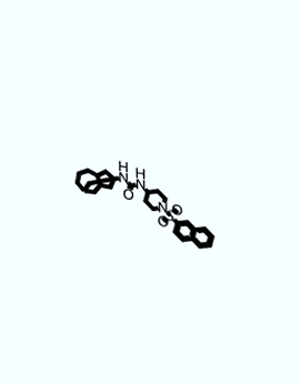 O=C(NC1CCN(S(=O)(=O)c2ccc3ccccc3c2)CC1)NC12CC3CCCC(C1)C(C3)C2